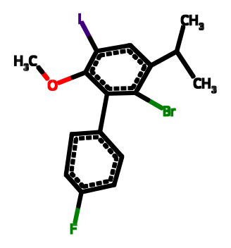 COc1c(I)cc(C(C)C)c(Br)c1-c1ccc(F)cc1